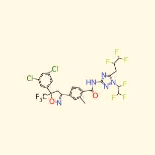 Cc1cc(C2=NOC(c3cc(Cl)cc(Cl)c3)(C(F)(F)F)C2)ccc1C(=O)Nc1nc(CC(F)C(F)F)n(C(F)C(F)F)n1